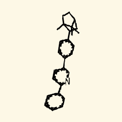 CC1(C)C2CCC1(C)C(c1ccc(-c3ccc(-c4ccccc4)nc3)cc1)C2